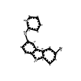 Brc1ccc2oc3ccc(Oc4ccccn4)cc3c2c1